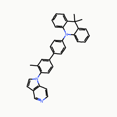 Cc1cc(-c2ccc(N3c4ccccc4C(C)(C)c4ccccc43)cc2)ccc1-n1ccc2cnccc21